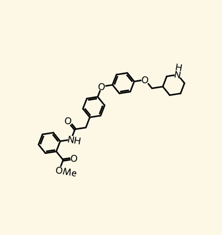 COC(=O)c1ccccc1NC(=O)Cc1ccc(Oc2ccc(OCC3CCCNC3)cc2)cc1